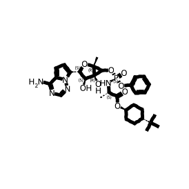 C[C@H](N[P@@](=O)(Oc1ccccc1)OC1[C@@]2(C)O[C@@H](c3ccc4c(N)ncnn34)[C@H](O)[C@@]12O)C(=O)O[C@H]1CC[C@H](C(C)(C)C)CC1